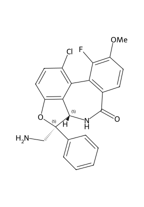 COc1ccc2c(c1F)-c1c(Cl)ccc3c1[C@H](NC2=O)[C@@](CN)(c1ccccc1)O3